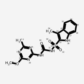 COc1nc(C)nc(NC(=O)NS(=O)(=O)c2[nH]c3ccccc3c2C)n1